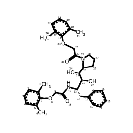 Cc1cccc(C)c1OCC(=O)N[C@@H](Cc1ccccc1)[C@H](O)[C@@H](O)[C@@H]1CCCN1C(=O)COc1c(C)cccc1C